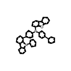 c1ccc(-c2ccc(N(c3ccc(-c4cccc5c6ccccc6n(-c6ccccc6)c45)cc3)c3cccc4c3oc3ccccc34)cc2)cc1